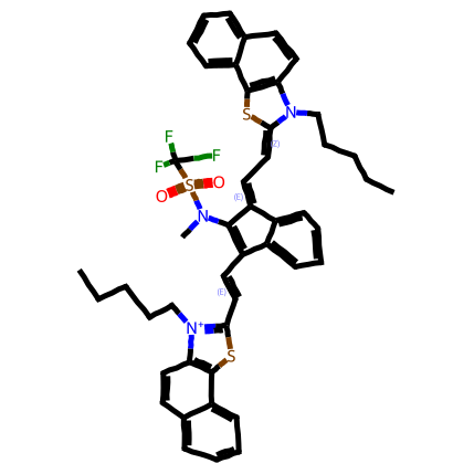 CCCCCN1/C(=C/C=C2C(N(C)S(=O)(=O)C(F)(F)F)=C(/C=C/c3sc4c5ccccc5ccc4[n+]3CCCCC)c3ccccc3/2)Sc2c1ccc1ccccc21